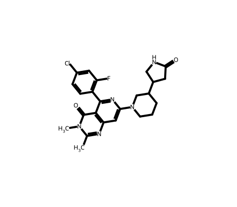 Cc1nc2cc(N3CCCC(C4CNC(=O)C4)C3)nc(-c3ccc(Cl)cc3F)c2c(=O)n1C